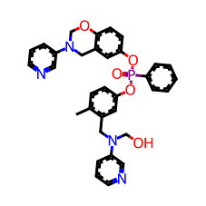 Cc1ccc(OP(=O)(Oc2ccc3c(c2)CN(c2cccnc2)CO3)c2ccccc2)cc1CN(CO)c1cccnc1